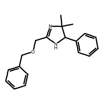 CC1(C)N=C(COCc2ccccc2)NC1c1ccccc1